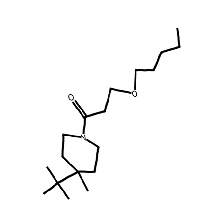 CCCCCOCCC(=O)N1CCC(C)(C(C)(C)C)CC1